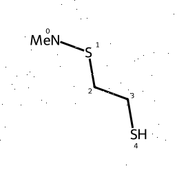 CNSCCS